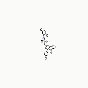 COc1ccc(OC)c(/C=C/C(=O)NCc2cc3c([nH]c4ccccc43)c(-c3ccc(Cl)cc3)n2)c1